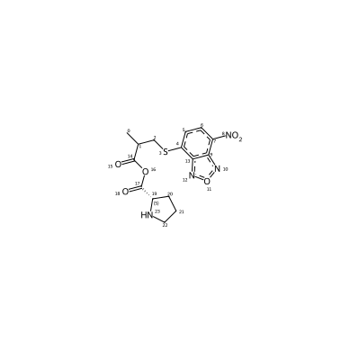 CC(CSc1ccc([N+](=O)[O-])c2nonc12)C(=O)OC(=O)[C@@H]1CCCN1